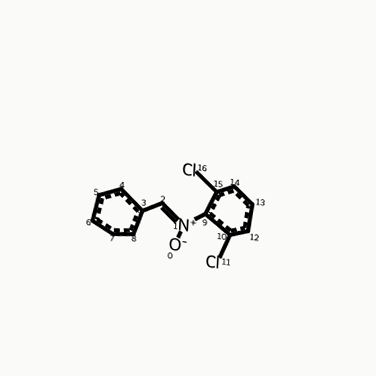 [O-][N+](=Cc1ccccc1)c1c(Cl)cccc1Cl